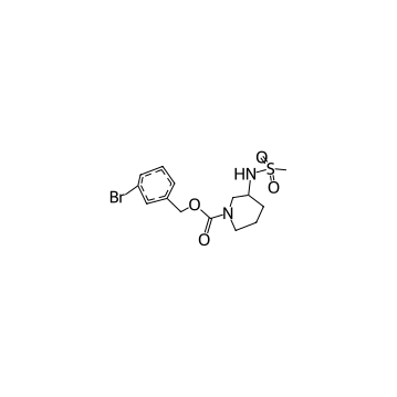 CS(=O)(=O)NC1CCCN(C(=O)OCc2cccc(Br)c2)C1